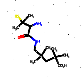 CC(C)(CNC(=O)C(N)C(C)(C)S)CC(C)(C)C(=O)O